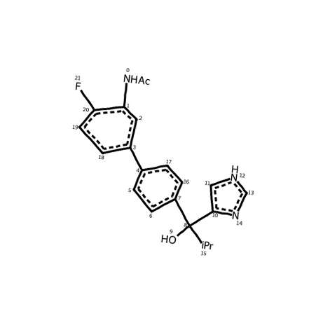 CC(=O)Nc1cc(-c2ccc(C(O)(c3c[nH]cn3)C(C)C)cc2)ccc1F